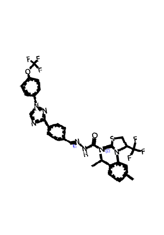 Cc1ccc(C(C)C)c(N2/C(=N/C(=O)N/N=C/c3ccc(-c4ncn(-c5ccc(OC(F)(F)F)cc5)n4)cc3)SCC2C(F)(F)F)c1